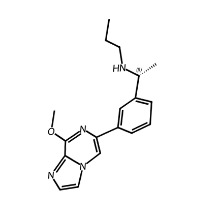 CCCN[C@H](C)c1cccc(-c2cn3ccnc3c(OC)n2)c1